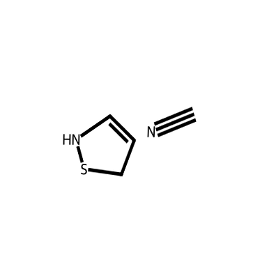 C#N.C1=CNSC1